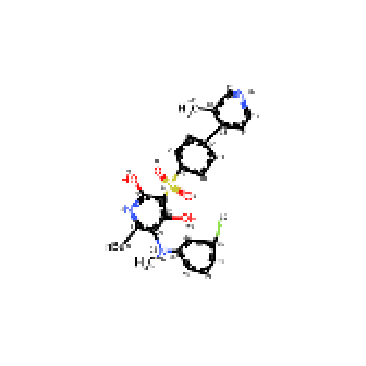 CCCCc1nc(O)c(S(=O)(=O)c2ccc(-c3ccncc3C)cc2)c(O)c1N(C)c1cccc(F)c1